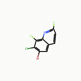 Fc1ccc2cc(Br)c(Cl)c(F)c2n1